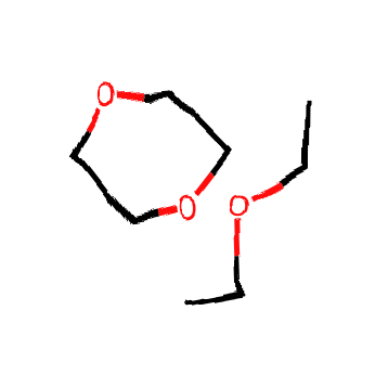 C1COCCO1.CCOCC